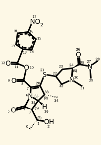 C[C@@H](O)[C@H]1C(=O)N2C(C(=O)OC(=O)c3ccc([N+](=O)[O-])cc3)=C(SC3C[C@@H](C(=O)N(C)C)N(C)C3)[C@H](C)[C@H]12